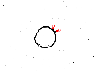 O=C1CCCCCCCCCCCCC1=O